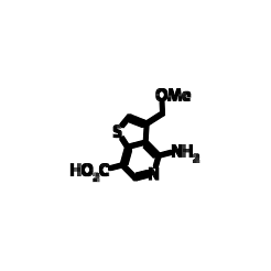 COCc1csc2c(C(=O)O)cnc(N)c12